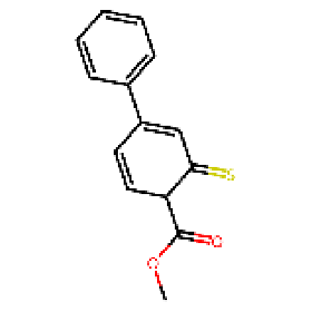 COC(=O)C1C=CC(c2ccccc2)=CC1=S